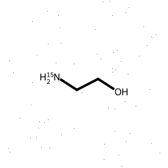 [15NH2]CCO